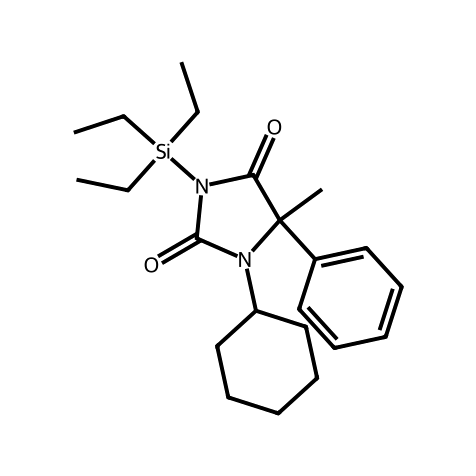 CC[Si](CC)(CC)N1C(=O)N(C2CCCCC2)C(C)(c2ccccc2)C1=O